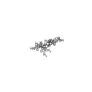 CC(C)C1=C2[C@H]3CC[C@@H]4[C@@]5(C)CC[C@H](OC(=O)[C@H]6C[C@@H](C(=O)O)C6(C)C)C(C)(C)[C@@H]5CC[C@@]4(C)[C@]3(C)CC[C@@]2([C@@H](O)CNC(=O)C2(N)CNC2)CC1=O